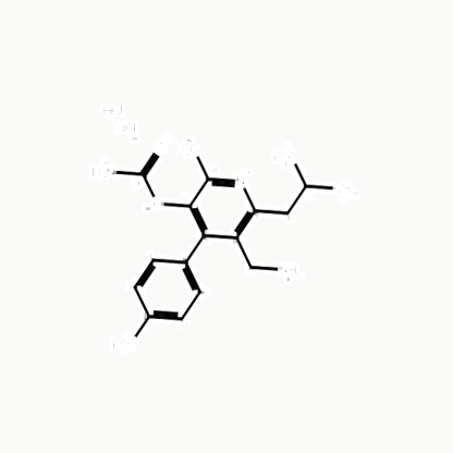 Cc1ccc(-c2c(CN)c(CC(C)C)nc(C)c2OC(N)=O)cc1.Cl.Cl